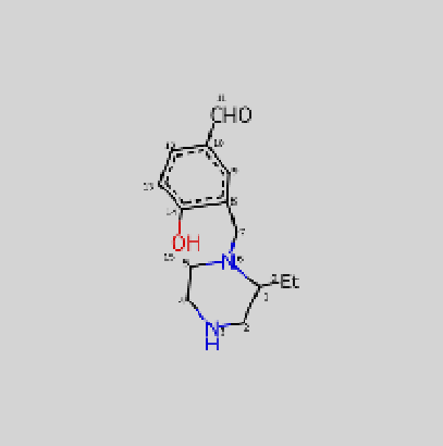 CCC1CNCCN1Cc1cc(C=O)ccc1O